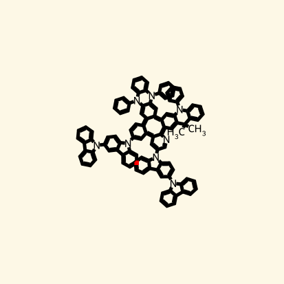 CC1(C)c2ccccc2N(c2ccccc2)c2cc3c4cc5c(cc4c4ccc(-n6c7ccccc7c7cc(-n8c9ccccc9c9ccccc98)ccc76)cc4c4cc(-n6c7ccccc7c7cc(-n8c9ccccc9c9ccccc98)ccc76)cnc4c3cc21)n(-c1ccccc1)c1ccccc1n5-c1ccccc1